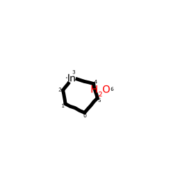 C1C[CH2][In][CH2]C1.O